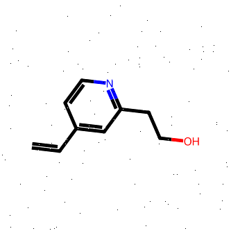 C=Cc1ccnc(CCO)c1